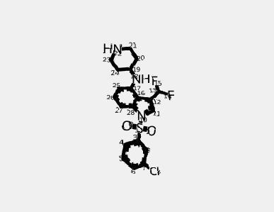 O=S(=O)(c1cccc(Cl)c1)n1cc(C(F)F)c2c(NC3CCNCC3)cccc21